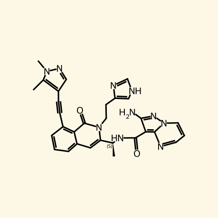 Cc1c(C#Cc2cccc3cc([C@H](C)NC(=O)c4c(N)nn5cccnc45)n(CCc4c[nH]cn4)c(=O)c23)cnn1C